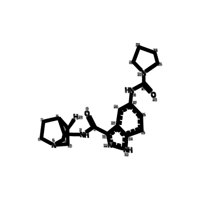 O=C(N[C@@H]1CN2CCC1CC2)c1n[nH]c2ccc(NC(=O)N3CCCC3)cc12